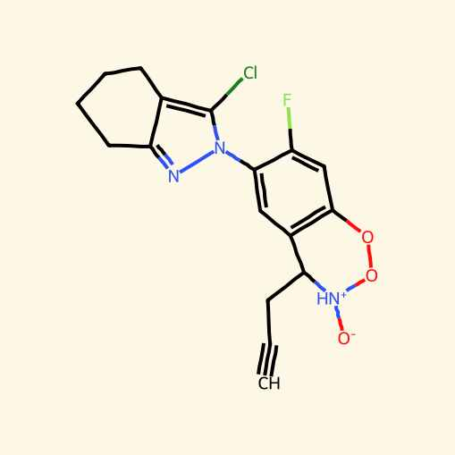 C#CCC1c2cc(-n3nc4c(c3Cl)CCCC4)c(F)cc2OO[NH+]1[O-]